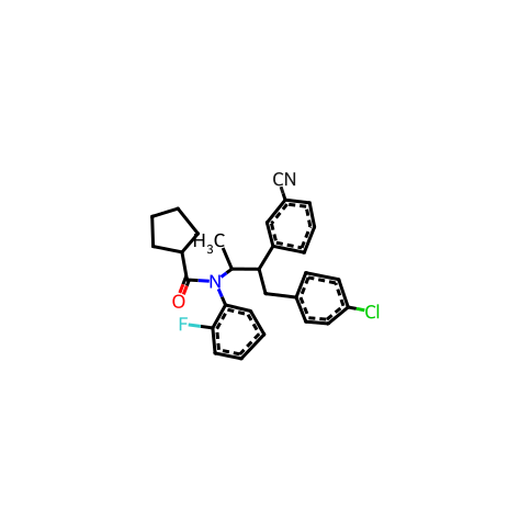 CC(C(Cc1ccc(Cl)cc1)c1cccc(C#N)c1)N(C(=O)C1CCCC1)c1ccccc1F